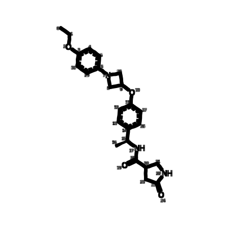 CCOc1ccc(N2CC(Oc3ccc([C@H](C)NC(=O)C4CNC(=O)C4)cc3)C2)cc1